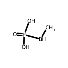 CBP(=O)(O)O